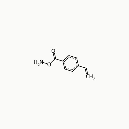 C=Cc1ccc(C(=O)ON)cc1